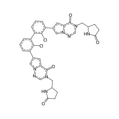 O=C1CCC(Cn2cnn3cc(-c4cccc(-c5cccc(-c6cc7c(=O)n(CC8CCC(=O)N8)cnn7c6)c5Cl)c4Cl)cc3c2=O)N1